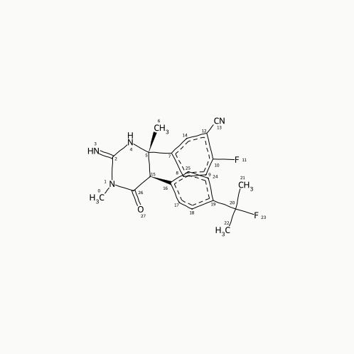 CN1C(=N)N[C@](C)(c2ccc(F)c(C#N)c2)[C@@H](c2ccc(C(C)(C)F)cc2)C1=O